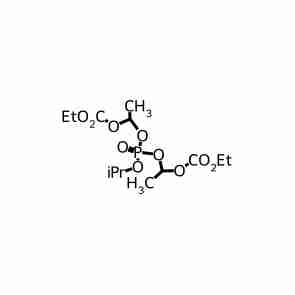 CCOC(=O)OC(C)OP(=O)(OC(C)C)OC(C)OC(=O)OCC